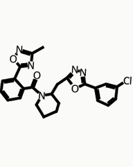 Cc1noc(-c2ccccc2C(=O)N2CCCCC2Cc2nnc(-c3cccc(Cl)c3)o2)n1